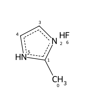 Cc1ncc[nH]1.F